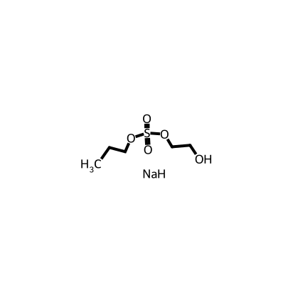 CCCOS(=O)(=O)OCCO.[NaH]